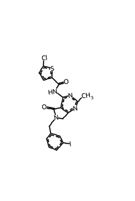 Cc1nc2c(c(NC(=O)c3ccc(Cl)s3)n1)C(=O)N(Cc1cccc(I)c1)C2